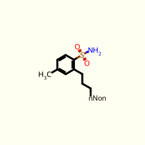 CCCCCCCCCCCCc1cc(C)ccc1S(N)(=O)=O